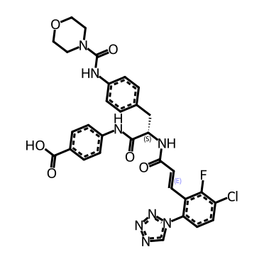 O=C(/C=C/c1c(-n2cnnn2)ccc(Cl)c1F)N[C@@H](Cc1ccc(NC(=O)N2CCOCC2)cc1)C(=O)Nc1ccc(C(=O)O)cc1